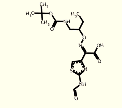 CCC(CNC(=O)OC(C)(C)C)ON=C(C(=O)O)c1csc(NC=O)n1